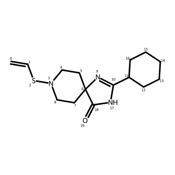 C=CSN1CCC2(CC1)N=C(C1CCCCC1)NC2=O